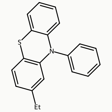 CCc1ccc2c(c1)N(c1ccccc1)c1ccccc1S2